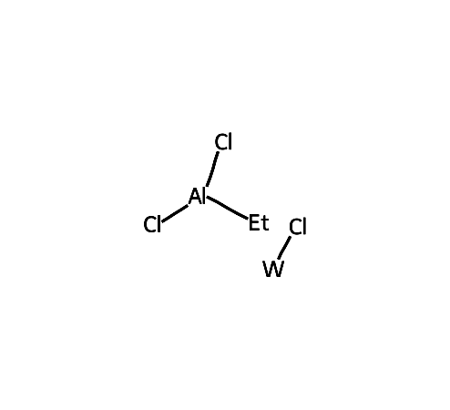 C[CH2][Al]([Cl])[Cl].[Cl][W]